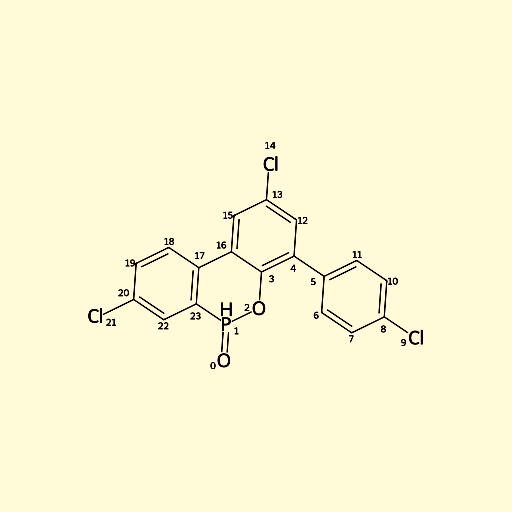 O=[PH]1Oc2c(-c3ccc(Cl)cc3)cc(Cl)cc2-c2ccc(Cl)cc21